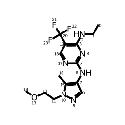 CCNc1nc(Nc2cnn(CCOC)c2C)ncc1C(F)(F)F